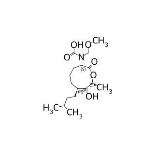 COCN(C(=O)O)[C@H]1CCC[C@H](CCC(C)C)[C@@H](O)[C@H](C)OC1=O